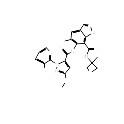 COc1cc(C(=O)Nc2c(Cl)cc3cn[nH]c3c2C(=O)NC2(C)CSC2)n(-c2ncccc2Cl)n1